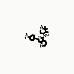 CC1C(Nc2nc(-c3ccc(N(C)C)cc3)cc3ncccc23)CCN(C)C1(C)C